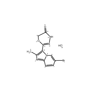 Cc1nc2ccc(Br)cn2c1C1=NNC(=O)CO1.Cl